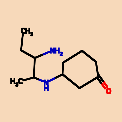 CCC(N)C(C)NC1CCCC(=O)C1